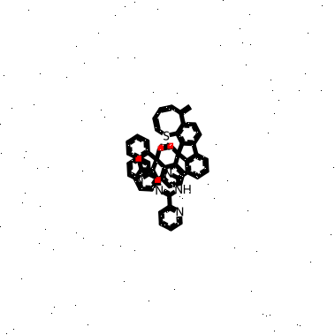 C=C1/C=C\C=C/Sc2c1ccc1c2C2(c3ccccc3C3(c4ccccc4-c4ccccc43)c3ccccc32)c2c-1cccc2C1N=C(c2ccccn2)N=C(c2ccccn2)N1